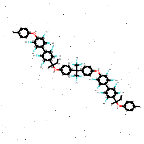 CCC(C)(Oc1ccc(C)cc1)c1c(F)c(F)c(-c2c(F)c(F)c(Oc3ccc(C(c4ccc(OC(C)(CC)c5c(F)c(F)c(-c6c(F)c(F)c(Oc7ccc(C)cc7)c(F)c6F)c(F)c5F)cc4)(C(F)(F)F)C(F)(F)F)cc3)c(F)c2F)c(F)c1F